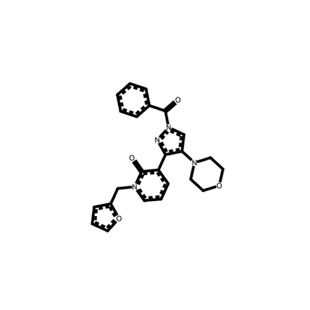 O=C(c1ccccc1)n1cc(N2CCOCC2)c(-c2cccn(Cc3ccco3)c2=O)n1